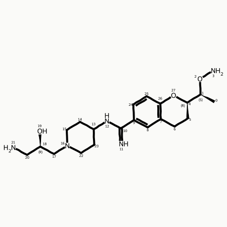 C[C@H](ON)[C@H]1CCc2cc(C(=N)NC3CCN(C[C@H](O)CN)CC3)ccc2O1